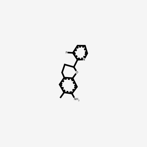 Cc1cc2c(cc1N)OC(c1ncccc1F)CC2